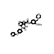 COc1cc(NC(=O)c2sc3ncnc4c3c2NC(=O)N4c2ccc(Oc3cccnc3)cc2)ccc1CN1CCOCC1